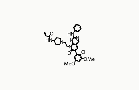 C=CC(=O)NC1CCN(CCn2c(=O)c(-c3cc(OC)cc(OC)c3Cl)cc3cnc(Nc4ccccc4)nc32)CC1